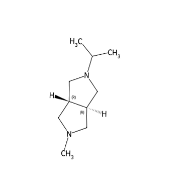 CC(C)N1C[C@H]2CN(C)C[C@@H]2C1